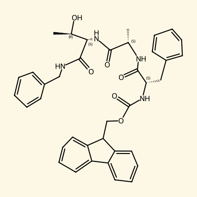 C[C@H](NC(=O)[C@H](Cc1ccccc1)NC(=O)OCC1c2ccccc2-c2ccccc21)C(=O)N[C@H](C(=O)NCc1ccccc1)[C@@H](C)O